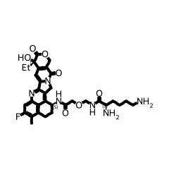 CC[C@@]1(O)C(=O)OCc2c1cc1n(c2=O)Cc2c-1nc1cc(F)c(C)c3c1c2[C@@H](NC(=O)COCNC(=O)[C@@H](N)CCCCN)CC3